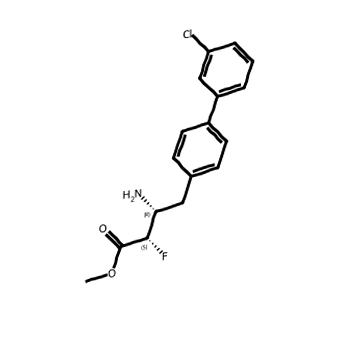 COC(=O)[C@@H](F)[C@H](N)Cc1ccc(-c2cccc(Cl)c2)cc1